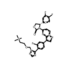 C[Si](C)(C)CCOCn1ncnc1-c1ccc(-c2cnn3ccc(N4C(=O)OC[C@@H]4c4ccc(F)c(F)c4)nc23)cc1F